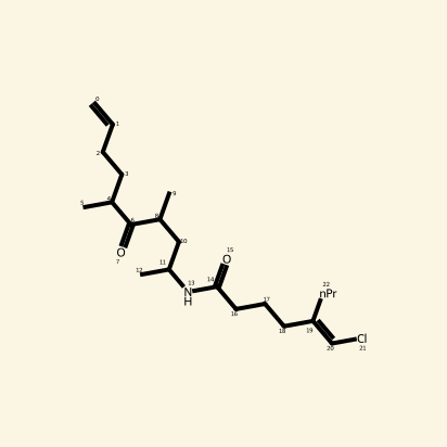 C=CCCC(C)C(=O)C(C)CC(C)NC(=O)CCC/C(=C/Cl)CCC